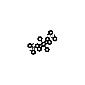 Cc1ccccc1N(c1ccccc1C)c1ccc2c3c(-c4ccccc4)c4c5ccc(N(c6ccccc6C)c6ccccc6C)c6cccc(c4c(-c4ccccc4)c3c3cccc1c32)c65